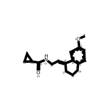 COc1ccc2c(c1)C(=CCNC(=O)C1CC1)CCC2